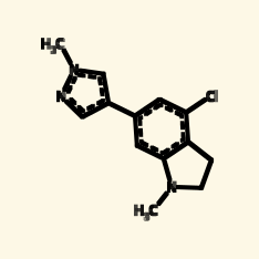 CN1CCc2c(Cl)cc(-c3cnn(C)c3)cc21